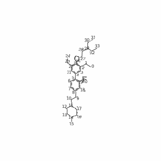 CCc1cc(-c2ccc(CCC3CCC(C)CC3)cc2F)cc(CC)c1OCCC(CC)CC